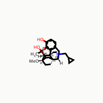 CO[C@]12CC[C@@]3(CC1C(C)(C)O)[C@H]1Cc4ccc(O)c5c4[C@@]3(CCN1CC1CC1)[C@H]2O5